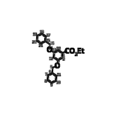 CCOC(=O)c1cc(OCc2ccccc2)cc(OCc2ccccc2)c1